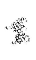 CCC(=O)N[C@@H](C(=O)N1CCN(C)CC1)[C@@H](CC)c1ccc(NC(=O)[C@H](C2CCCCCC2)N(C=O)c2ccnn2CC)cc1